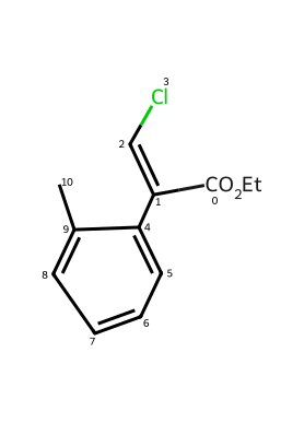 CCOC(=O)C(=CCl)c1ccccc1C